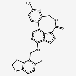 O=C1NCc2nc(C(F)(F)F)ccc2-c2cnc(NCc3c(F)ccc4c3CCO4)n3cnc1c23